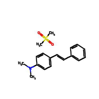 CN(C)c1ccc(C=Cc2ccccc2)cc1.CS(C)(=O)=O